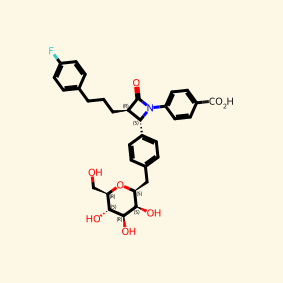 O=C(O)c1ccc(N2C(=O)[C@H](CCCc3ccc(F)cc3)[C@H]2c2ccc(C[C@@H]3O[C@H](CO)[C@@H](O)[C@H](O)[C@@H]3O)cc2)cc1